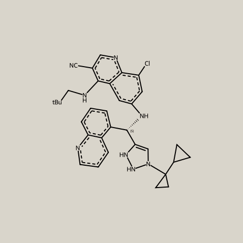 CC(C)(C)CNc1c(C#N)cnc2c(Cl)cc(N[C@H](C3=CN(C4(C5CC5)CC4)NN3)c3cccc4ncccc34)cc12